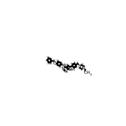 CCN1CCN(Cc2ccc(-c3cc4c(Nc5ccc(OCc6ccccc6)cc5)ncnc4[nH]3)cc2)CC1